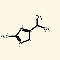 CC1=NCC(C(C)C)=N1